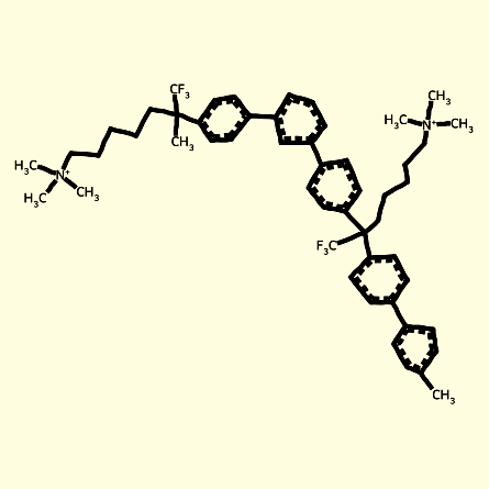 Cc1ccc(-c2ccc(C(CCCCC[N+](C)(C)C)(c3ccc(-c4cccc(-c5ccc(C(C)(CCCCC[N+](C)(C)C)C(F)(F)F)cc5)c4)cc3)C(F)(F)F)cc2)cc1